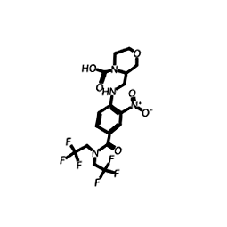 O=C(c1ccc(NCC2COCCN2C(=O)O)c([N+](=O)[O-])c1)N(CC(F)(F)F)CC(F)(F)F